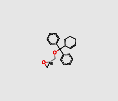 C1=CC(C(OC[C@@H]2CO2)(c2ccccc2)c2ccccc2)=CCC1